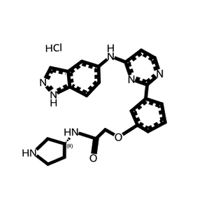 Cl.O=C(COc1cccc(-c2nccc(Nc3ccc4[nH]ncc4c3)n2)c1)N[C@@H]1CCNC1